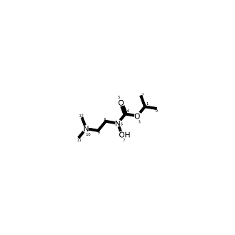 CC(C)OC(=O)N(O)CCN(C)C